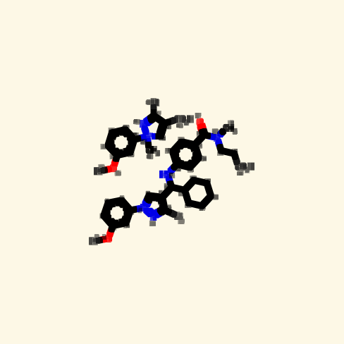 CCOc1cccc(-n2cc(C(Nc3ccc(C(=O)N(C)CCC(=O)O)cc3)C3CCCCC3)c(CC)n2)c1.CCOc1cccc([N+]2(C)C=C(C(=O)O)C(CC)=N2)c1